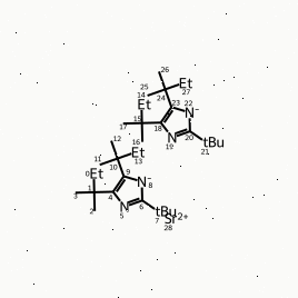 CCC(C)(C)c1nc(C(C)(C)C)[n-]c1C(C)(C)CC.CCC(C)(C)c1nc(C(C)(C)C)[n-]c1C(C)(C)CC.[Sr+2]